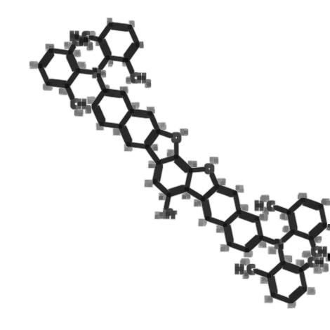 Cc1cccc(C)c1N(c1ccc2cc3c(cc2c1)oc1c3cc(C(C)C)c2c3cc4ccc(N(c5c(C)cccc5C)c5c(C)cccc5C)cc4cc3oc12)c1c(C)cccc1C